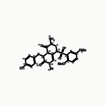 COc1ccc(OC)c(S(=O)(=O)N2CC(N)C(=O)N3C2=CN(C(C)C)C(=O)C3Cc2ccc(Cl)cc2)c1